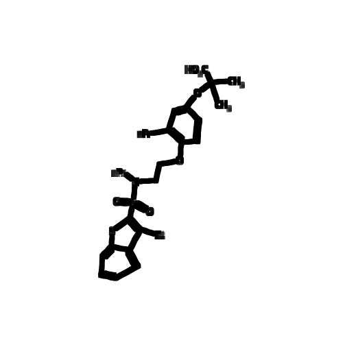 CCCc1cc(OC(C)(C)C(=O)O)ccc1OCCN(CCC)S(=O)(=O)c1sc2ccccc2c1CC